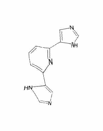 c1cc(-c2cnc[nH]2)nc(-c2cnc[nH]2)c1